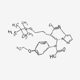 CCOc1ccc(N(C(=O)O)c2c(CCCO[Si](C)(C)C(C)(C)C)c(Cl)nc3ccnn23)cc1